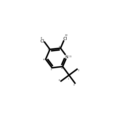 CC(C)(C)c1ccc(Cl)c(Cl)n1